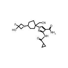 N#CCC1(n2cc(C(N)=O)c(NC(=O)C3CC3)n2)CCC(N2CC(O)(F)C2)CC1